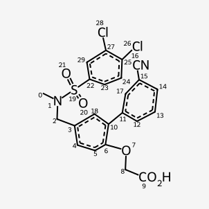 CN(Cc1ccc(OCC(=O)O)c(-c2cccc(C#N)c2)c1)S(=O)(=O)c1ccc(Cl)c(Cl)c1